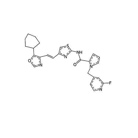 O=C(Nc1nc(C=Cc2ncoc2C2CCCCC2)cs1)c1cccn1Cc1ccnc(F)c1